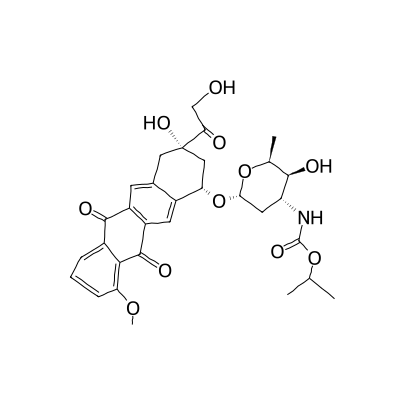 COc1cccc2c1C(=O)c1cc3c(cc1C2=O)C[C@@](O)(C(=O)CO)C[C@@H]3O[C@H]1C[C@@H](NC(=O)OC(C)C)[C@H](O)[C@H](C)O1